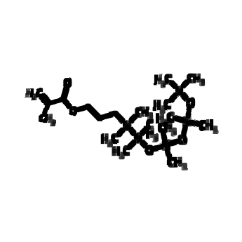 C=C(C)C(=O)OCCC[Si](C)(C)[Si](C)(C)O[Si](C)(C)O[Si](C)(C)O[Si](C)(C)C